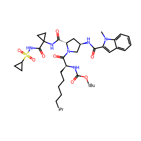 CC(C)CCCCC[C@H](NC(=O)OC(C)(C)C)C(=O)N1C[C@H](NC(=O)c2cc3ccccc3n2C)C[C@H]1C(=O)NC1(C(=O)NS(=O)(=O)C2CC2)CC1